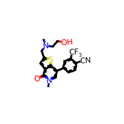 CN(CCO)Cc1cc2c(=O)n(C)cc(-c3ccc(C#N)c(C(F)(F)F)c3)c2s1